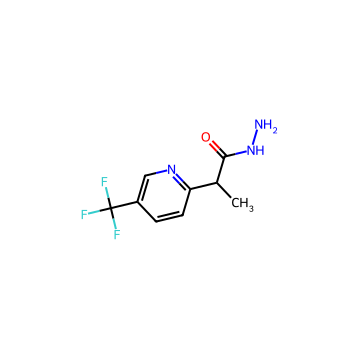 CC(C(=O)NN)c1ccc(C(F)(F)F)cn1